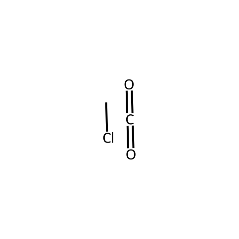 CCl.O=C=O